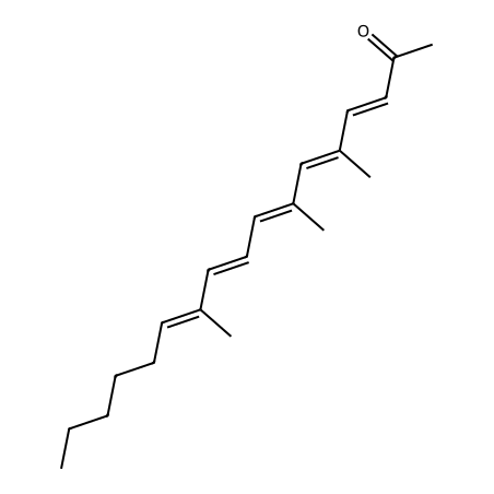 CCCCC/C=C(C)/C=C/C=C(C)/C=C(C)/C=C/C(C)=O